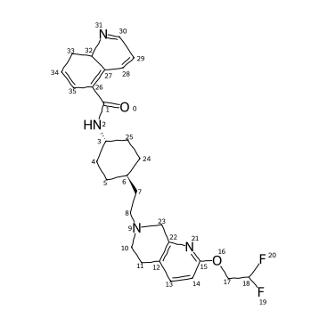 O=C(N[C@H]1CC[C@H](CCN2CCc3ccc(OCC(F)F)nc3C2)CC1)C1=C2C=CC=NC2CC=C1